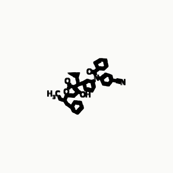 CCC(Cc1ccccc1)c1cc(O)c(C(c2cccc(N(C(=O)c3ccccc3)c3ccc(C#N)cc3)c2)C2CC2)c(=O)o1